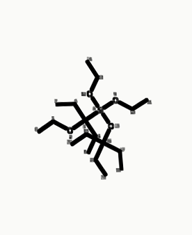 CCOC(CC)(CC)[Si](OCC)(OCC)OC(CC)(CC)CC